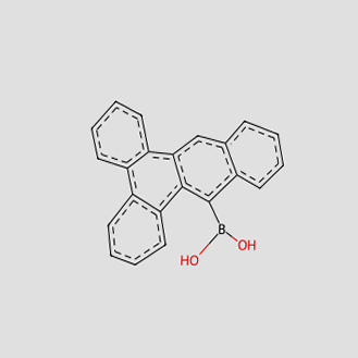 OB(O)c1c2ccccc2cc2c3ccccc3c3ccccc3c12